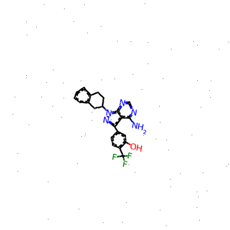 Nc1ncnc2c1c(-c1ccc(C(F)(F)F)c(O)c1)nn2C1CCc2ccccc2C1